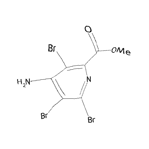 COC(=O)c1nc(Br)c(Br)c(N)c1Br